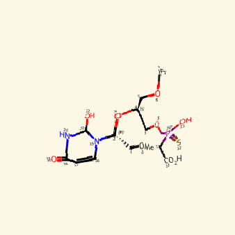 COC[C@@H](O[C@@H](COC(C)C)COP(O)(=S)CC(=O)O)N1C=CC(=O)NC1O